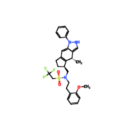 COc1ccccc1CCN(C[C@H]1CCC2=C1[C@@H](C)C1=CNN(c3ccccc3)C1=C2)S(=O)(=O)CC(F)(F)F